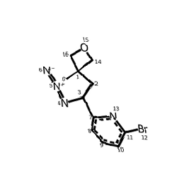 CC1(CC(N=[N+]=[N-])c2cccc(Br)n2)COC1